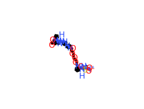 CC(=O)c1c(C)c2cnc(Nc3ccc(N4CCN(C(=O)CCOCCOCCOCCNc5ccccc5C(=O)Nc5nc(C)c([N+](=O)[O-])s5)CC4)cn3)nc2n(C2CCCC2)c1=O